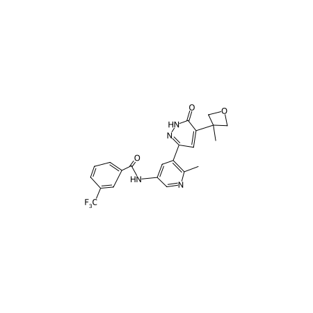 Cc1ncc(NC(=O)c2cccc(C(F)(F)F)c2)cc1-c1cc(C2(C)COC2)c(=O)[nH]n1